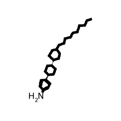 CCCCCCCCCCC1CCC([C@H]2CC[C@H](c3ccc(N)cc3)CC2)CC1